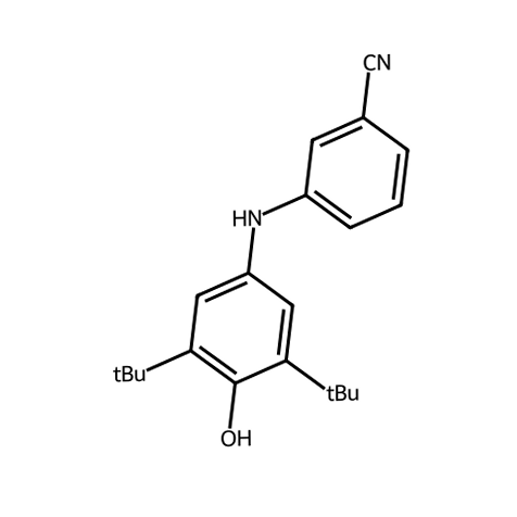 CC(C)(C)c1cc(Nc2cccc(C#N)c2)cc(C(C)(C)C)c1O